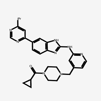 CC(C)c1cc(-c2ccc3nc(Nc4cc(CN5CCN(C(=O)C6CC6)CC5)ccn4)[nH]c3c2)ncn1